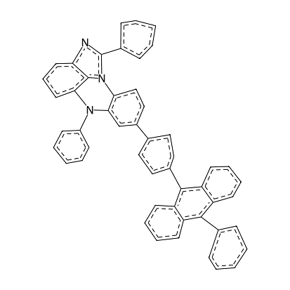 c1ccc(-c2c3ccccc3c(-c3ccc(-c4ccc5c(c4)N(c4ccccc4)c4cccc6nc(-c7ccccc7)n-5c46)cc3)c3ccccc23)cc1